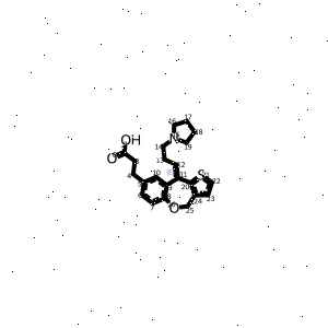 O=C(O)CCc1ccc2c(c1)/C(=C\CCN1CCCC1)c1sccc1CO2